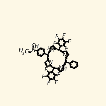 CCN(C)c1ccc(-c2c3nc(c(-c4c(F)c(F)c(F)c(F)c4F)c4ccc([nH]4)c(-c4ccccc4)c4nc(c(-c5c(F)c(F)c(F)c(F)c5F)c5ccc2[nH]5)C=C4)C=C3)cc1